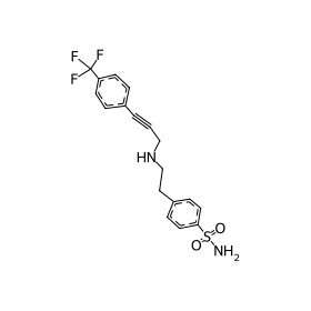 NS(=O)(=O)c1ccc(CCNCC#Cc2ccc(C(F)(F)F)cc2)cc1